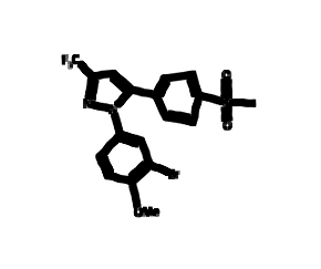 COc1ccc(-n2nc(C(F)(F)F)cc2-c2ccc(S(C)(=O)=O)cc2)cc1Br